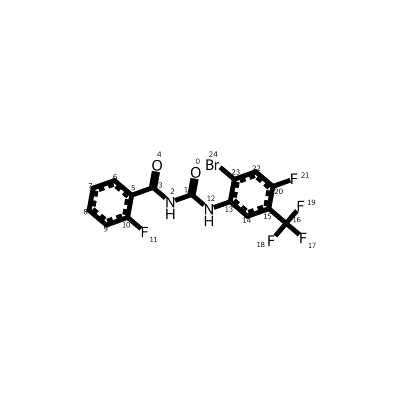 O=C(NC(=O)c1ccccc1F)Nc1cc(C(F)(F)F)c(F)cc1Br